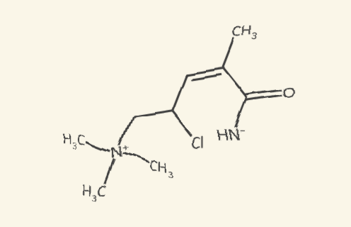 CC(=CC(Cl)C[N+](C)(C)C)C([NH-])=O